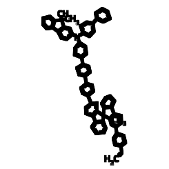 C=Cc1ccc(C2=CC3(C)C(C=C2)c2ccccc2C32c3ccccc3-c3ccc(-c4ccc(-c5ccc(-c6ccc(N(c7ccc(-c8ccccc8)cc7)c7ccc8c(c7)C(C)(C)c7ccccc7-8)cc6)cc5)cc4)cc32)cc1